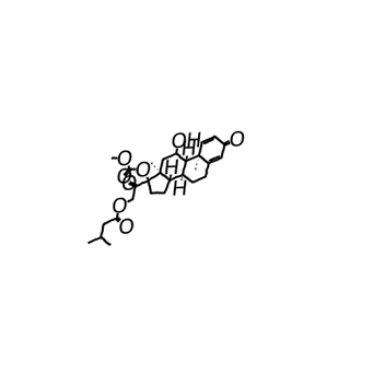 COC(=O)O[C@]1(C(=O)COC(=O)CC(C)C)CC[C@H]2[C@@H]3CCC4=CC(=O)C=C[C@]4(C)[C@H]3C(O)C[C@@]21C